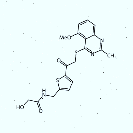 COc1cccc2nc(C)nc(SCC(=O)c3ccc(CNC(=O)CO)s3)c12